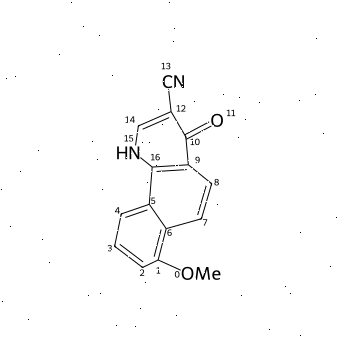 COc1cccc2c1ccc1c(=O)c(C#N)c[nH]c12